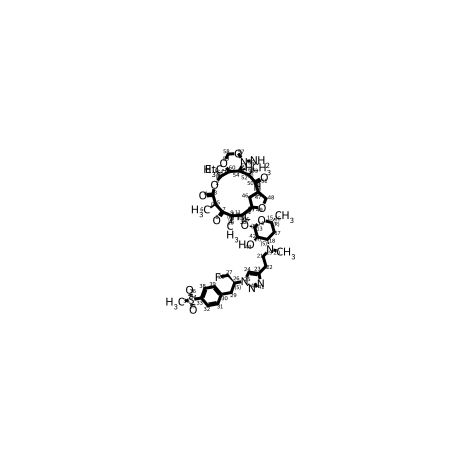 CC[C@H]1OC(=O)[C@H](C)C(=O)[C@H](C)[C@@H](O[C@@H]2O[C@H](C)C[C@H](N(C)CCc3cn([C@H](CF)Cc4ccc(S(C)(=O)=O)cc4)nn3)[C@H]2O)[C@@]2(C)C[C@@H](CO2)C(=O)[C@H](C)[C@H]2N(N)OCO[C@]12C